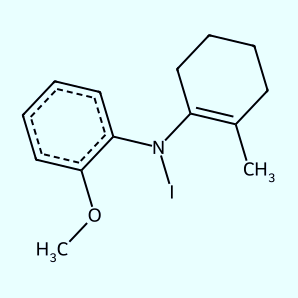 COc1ccccc1N(I)C1=C(C)CCCC1